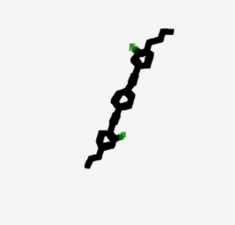 CCCCc1ccc(C#Cc2ccc(C#Cc3ccc(CCC)cc3F)cc2)cc1F